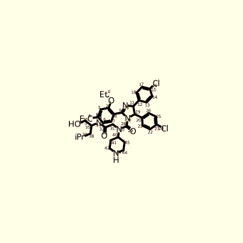 CCOc1cc(C(F)(F)F)ccc1C1=NC(c2ccc(Cl)cc2)C(c2ccc(Cl)cc2)N1C(=O)N(CC(=O)NC(CO)CC(C)C)C1CCNCC1